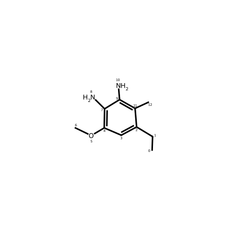 CCc1cc(OC)c(N)c(N)c1C